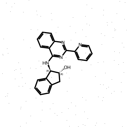 O[C@@H]1Cc2ccccc2[C@H]1Nc1nc(-c2ccccn2)nc2ccccc12